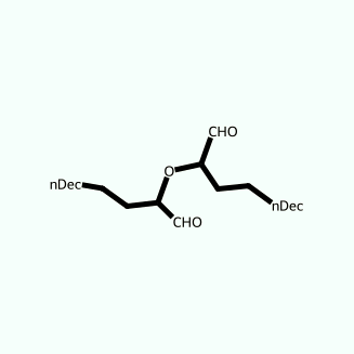 CCCCCCCCCCCCC(C=O)OC(C=O)CCCCCCCCCCCC